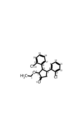 CCOC1C(=O)CC(c2ccccc2Cl)C1c1ccccc1Cl